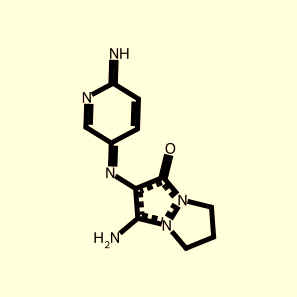 N=C1C=CC(=Nc2c(N)n3n(c2=O)CCC3)C=N1